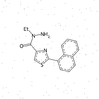 CCN(N)C(=O)c1csc(-c2cccc3ccccc23)n1